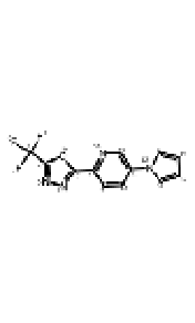 FC(F)(F)c1nnc(-c2ccc(-n3cccc3)cn2)o1